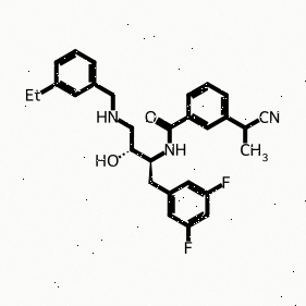 CCc1cccc(CNC[C@@H](O)[C@H](Cc2cc(F)cc(F)c2)NC(=O)c2cccc(C(C)C#N)c2)c1